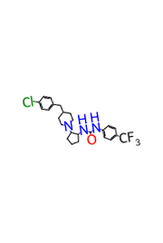 O=C(Nc1ccc(C(F)(F)F)cc1)NC1CCCC1N1CCC(Cc2ccc(Cl)cc2)CC1